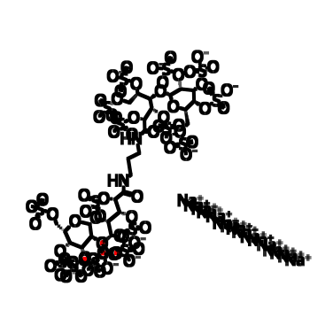 O=C(NCCCNC(=O)[C@H](OS(=O)(=O)[O-])[C@@H](OS(=O)(=O)[O-])[C@H](O[C@@H]1O[C@H](COS(=O)(=O)[O-])[C@H](OS(=O)(=O)[O-])[C@H](OS(=O)(=O)[O-])[C@H]1OS(=O)(=O)[O-])[C@@H](COS(=O)(=O)[O-])OS(=O)(=O)[O-])[C@@H](OS(=O)(=O)[O-])[C@H](OS(=O)(=O)[O-])[C@@H](O[C@H]1O[C@@H](COS(=O)(=O)[O-])[C@@H](OS(=O)(=O)[O-])[C@@H](OS(=O)(=O)[O-])[C@@H]1OS(=O)(=O)[O-])[C@H](COS(=O)(=O)[O-])OS(=O)(=O)[O-].[Na+].[Na+].[Na+].[Na+].[Na+].[Na+].[Na+].[Na+].[Na+].[Na+].[Na+].[Na+].[Na+].[Na+].[Na+].[Na+]